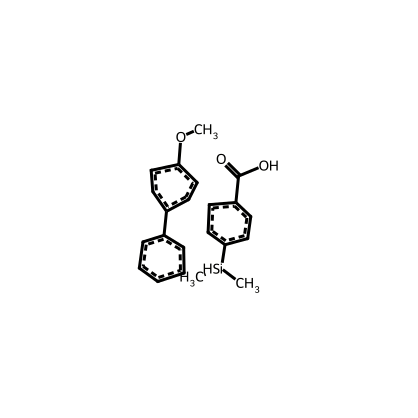 COc1ccc(-c2ccccc2)cc1.C[SiH](C)c1ccc(C(=O)O)cc1